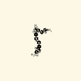 C=C1CCC(N2C(=O)c3ccc(N4CCC[C@@H](CN5CCN(c6ccc(Nc7nc(N8CCC[C@@H](N9CCN(C)C9=O)C8)cnc7C(N)=O)cc6)CC5)C4)cc3C2=O)C(=O)N1